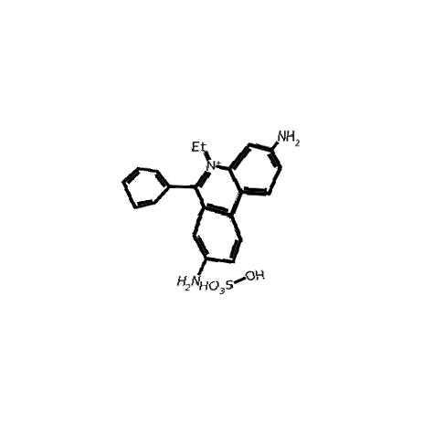 CC[n+]1c(-c2ccccc2)c2cc(N)ccc2c2ccc(N)cc21.O=S(=O)(O)O